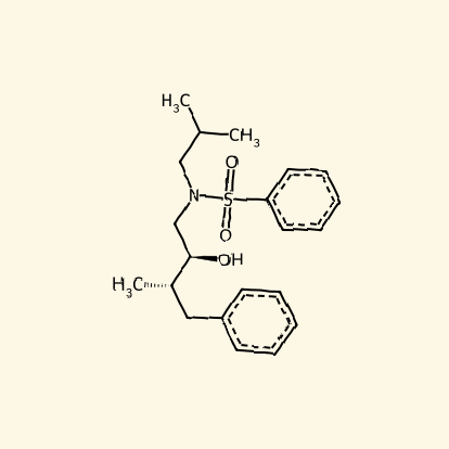 CC(C)CN(C[C@@H](O)[C@@H](C)Cc1ccccc1)S(=O)(=O)c1ccccc1